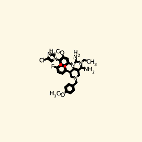 CCN1C(N)C2=C(C(c3ccc(F)cc3)CN(Cc3ccc(OC)cc3)C2)N(c2ccc(-n3cnc(Cl)c3)c(OC)c2)C1N